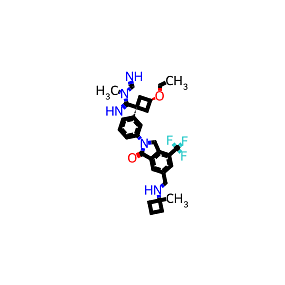 CCO[C@H]1C[C@](C(=N)N(C)C=N)(c2cccc(N3Cc4c(cc(CNC5(C)CCC5)cc4C(F)(F)F)C3=O)c2)C1